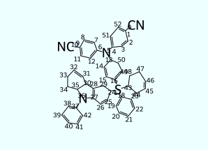 N#Cc1ccc(N(c2ccc(C#N)cc2)C2C=CC(S(c3ccccc3)(C3C=CC4=C(C3)C3C=CCCC3N4c3ccccc3)C3CC=CCC3)=CC2)cc1